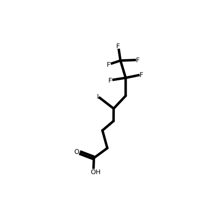 O=C(O)CCCC(I)CC(F)(F)C(F)(F)F